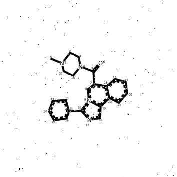 CN1CCN(C(=O)c2cn3c(-c4ccccc4)ncc3c3ccccc23)CC1